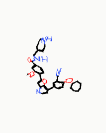 COc1cc(C(=O)NCC2CCNCC2)ccc1-c1cc2nccc(-c3ccc(OC4CCCCCC4)c(C#N)c3)c2o1